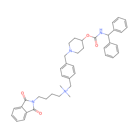 C[N+](C)(CCCCN1C(=O)c2ccccc2C1=O)Cc1ccc(CN2CCC(OC(=O)NC(c3ccccc3)c3ccccc3)CC2)cc1